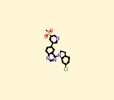 CS(=O)(=O)c1cncc(-c2ccc3ncnc(N4CCc5ccc(Cl)cc54)c3c2)c1